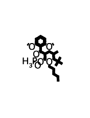 CCCCCOC(=O)C(CC(C)CC(C)(C)C)C(=O)c1c(OC)cccc1OC.O=[PH3]